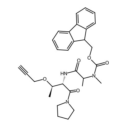 C#CCO[C@H](C)[C@H](NC(=O)C(C)N(C)C(=O)OCC1c2ccccc2-c2ccccc21)C(=O)N1CCCC1